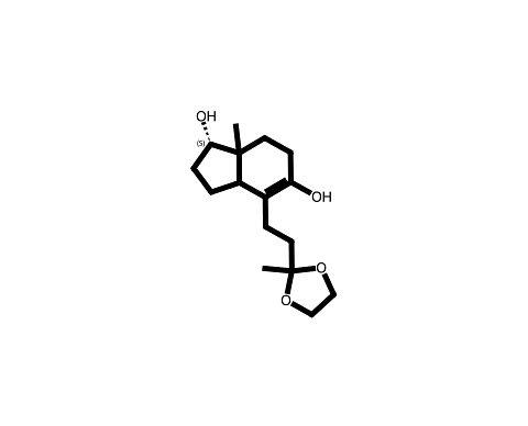 CC1(CCC2=C(O)CCC3(C)C2CC[C@@H]3O)OCCO1